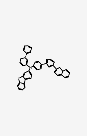 C1=CC2=CC=C(c3cccc(-c4ccc(N(C5=C[C@H](c6ccccc6)CC=C5)c5ccc6c(c5)sc5ccccc56)cc4)c3)CC2C=C1